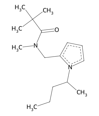 CCCC(C)n1cccc1CN(C)C(=O)C(C)(C)C